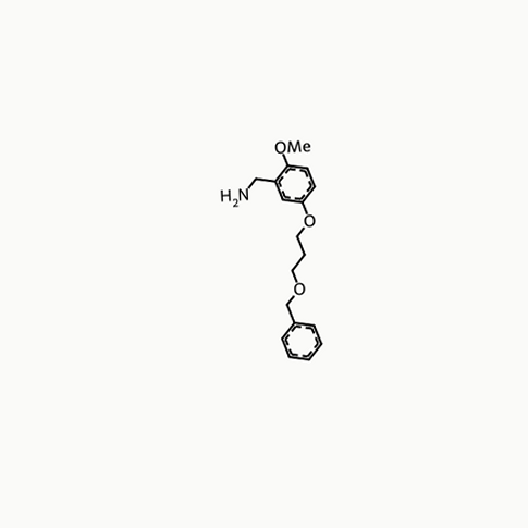 COc1ccc(OCCCOCc2ccccc2)cc1CN